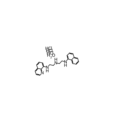 Cl.Cl.Cl.O.c1ccc2c(NCCNCCNc3cccc4cccnc34)cccc2c1